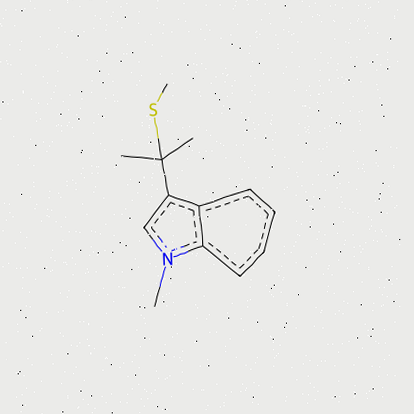 CSC(C)(C)c1cn(C)c2ccccc12